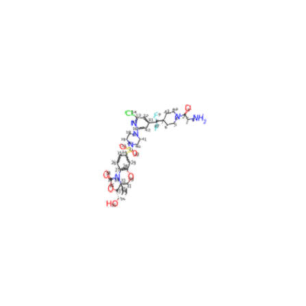 NCC(=O)N1CCC(C(F)(F)c2cc(Cl)nc(N3CCN(S(=O)(=O)c4ccc5c(c4)OC[C@@H]4[C@H](CO)OC(=O)N54)CC3)c2)CC1